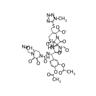 CCN1CCN(C(=O)NC(C(=O)N[C@]2(NC=O)C(=O)N3C(C(=O)[O-])=C(CSc4nnnn4C)C[S+]([O-])[C@@H]32)c2ccc(OC(C)=O)c(OC(C)=O)c2)C(=O)C1=O.[Na+]